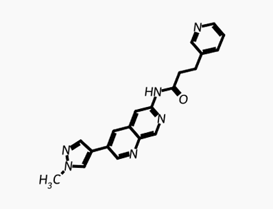 Cn1cc(-c2cnc3cnc(NC(=O)CCc4cccnc4)cc3c2)cn1